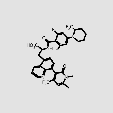 Cc1cc(C(F)(F)F)c(-c2ccc(CC(NC(=O)c3c(F)cc(N4CCCC[C@@H]4C(F)(F)F)cc3F)C(=O)O)c3cccnc23)c(=O)n1C